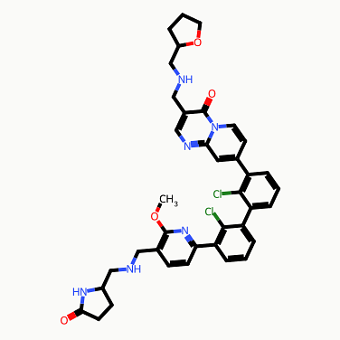 COc1nc(-c2cccc(-c3cccc(-c4ccn5c(=O)c(CNCC6CCCO6)cnc5c4)c3Cl)c2Cl)ccc1CNCC1CCC(=O)N1